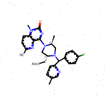 COC[C@@H]1CN(c2nc(=O)n(C)c3ccc(C#N)nc23)[C@@H](C)CN1C(c1ccc(F)cc1)c1ccc(C)cn1